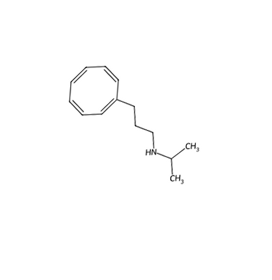 CC(C)NCCCC1=C/C=C\C=C/C=C\1